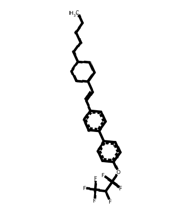 CCCCCC1CCC(C=Cc2ccc(-c3ccc(OC(F)(F)C(F)C(F)(F)F)cc3)cc2)CC1